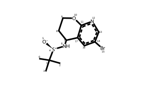 CC(C)(C)[S@@+]([O-])NC1CCOc2ncc(Br)cc21